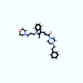 Cc1c(/C=C/C(=O)N2CCN(CCc3ccccc3)CC2)c2ccccc2n1CCCN1CCOCC1